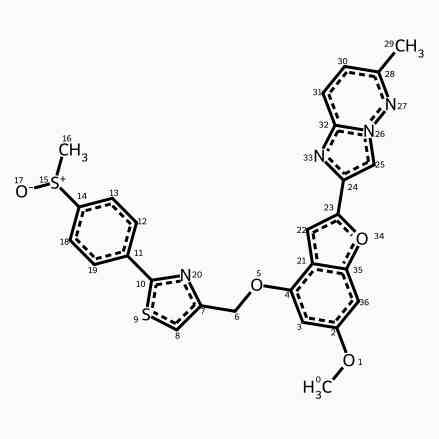 COc1cc(OCc2csc(-c3ccc([S+](C)[O-])cc3)n2)c2cc(-c3cn4nc(C)ccc4n3)oc2c1